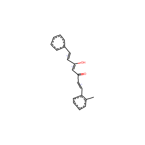 Cc1ccccc1/C=C/C(=O)/C=C(O)/C=C/c1ccccc1